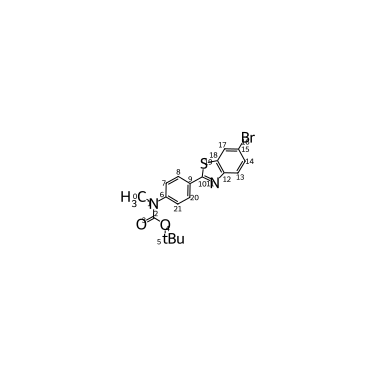 CN(C(=O)OC(C)(C)C)c1ccc(-c2nc3ccc(Br)cc3s2)cc1